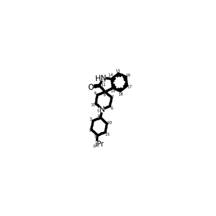 CC(C)C1CCC(N2CCC3(CC2)C(=O)Nc2ccccc23)CC1